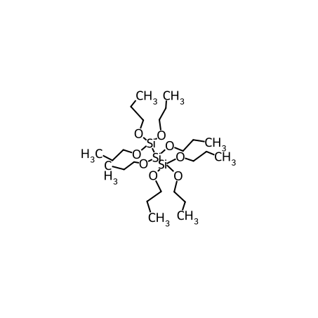 CCCO[Si](OCCC)(OCCC)[Si](OCCC)(OCCC)[Si](OCCC)(OCCC)OCCC